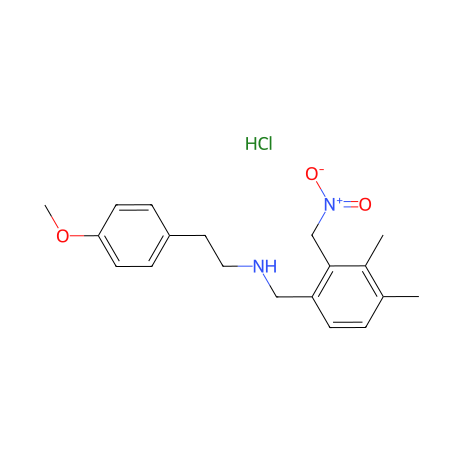 COc1ccc(CCNCc2ccc(C)c(C)c2C[N+](=O)[O-])cc1.Cl